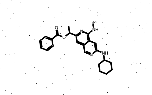 CC(C)Nc1nc(C(C)OC(=O)c2ccccc2)cc2cnc(NC3CCCCC3)cc12